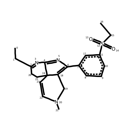 CCC1=NC2=NC(c3cccc(S(=O)(=O)CC)c3)=C3CN(C)C=CC23CC1